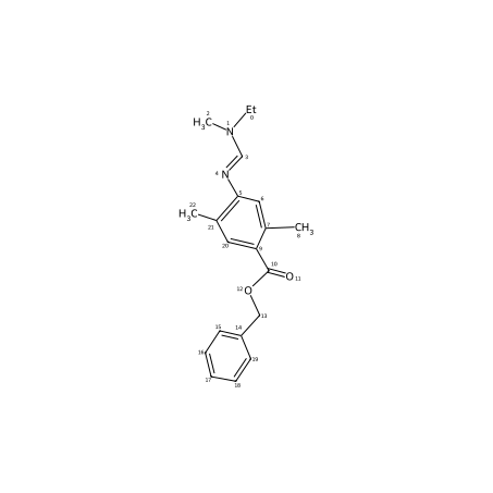 CCN(C)/C=N/c1cc(C)c(C(=O)OCc2ccccc2)cc1C